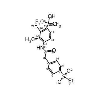 CCS(=O)(=O)c1ccc(CC(=O)Nc2ccc(C(O)(C(F)(F)F)C(F)(F)F)c(F)c2C)cc1